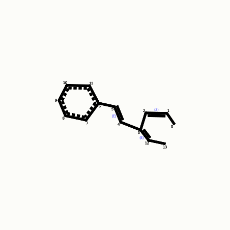 C\C=C/C(/C=C/c1ccccc1)=C\C